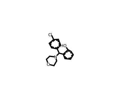 Oc1ccccc1C(c1ccc(Cl)cc1)N1CCOCC1